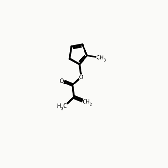 C=C(C)C(=O)OC1=C(C)C=CC1